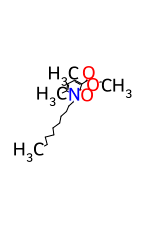 CCCCCCCCCCn1c(C)cc(C)c(C(=O)OCC)c1=O